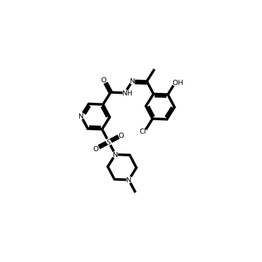 CC(=NNC(=O)c1cncc(S(=O)(=O)N2CCN(C)CC2)c1)c1cc(Cl)ccc1O